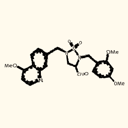 COc1ccc(CN2C(C=O)CN(Cc3ccc4c(OC)ccnc4c3)S2(=O)=O)c(OC)c1